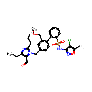 CCCc1nc(CC)c(C=O)n1Cc1ccc(-c2ccccc2S(=O)(=O)Nc2noc(C)c2Cl)c(COC)c1